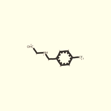 O=CCNCc1ccc(C(F)(F)F)cc1